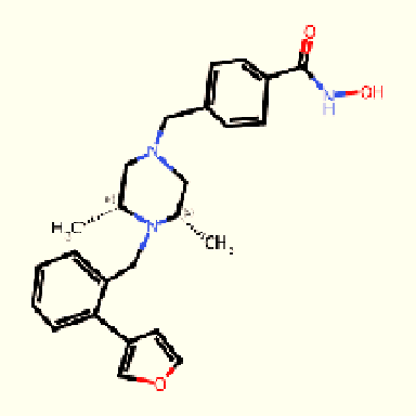 C[C@@H]1CN(Cc2ccc(C(=O)NO)cc2)C[C@H](C)N1Cc1ccccc1-c1ccoc1